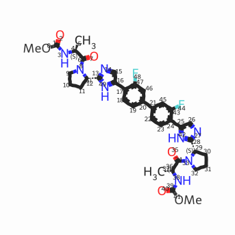 COC(=O)N[C@@H](C)C(=O)N1CCC[C@H]1c1ncc(-c2ccc(-c3ccc(-c4cnc([C@@H]5CCCN5C(=O)[C@@H](C)NC(=O)OC)[nH]4)c(F)c3)cc2F)[nH]1